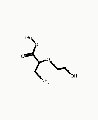 CC(C)(C)OC(=O)C(CN)OCCO